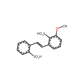 N#COc1cccc(C=Cc2ccccc2S(=O)(=O)O)c1S(=O)(=O)O